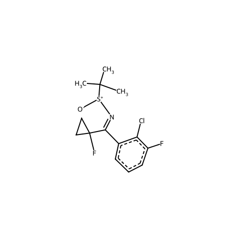 CC(C)(C)[S+]([O-])/N=C(/c1cccc(F)c1Cl)C1(F)CC1